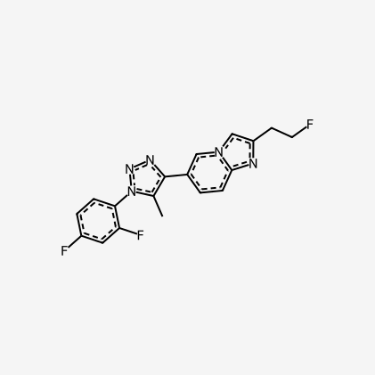 Cc1c(-c2ccc3nc(CCF)cn3c2)nnn1-c1ccc(F)cc1F